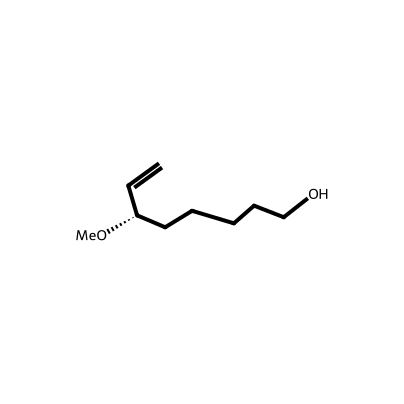 C=C[C@H](CCCCCO)OC